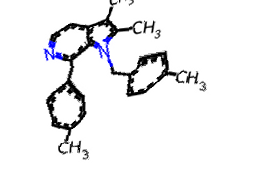 Cc1ccc(Cn2c(C)c(C)c3ccnc(-c4ccc(C)cc4)c32)cc1